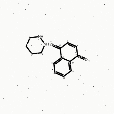 C1CCNNC1.O=C1C=CC(=O)c2ccccc21